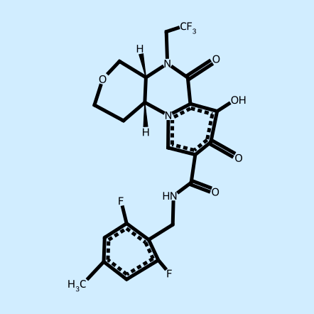 Cc1cc(F)c(CNC(=O)c2cn3c(c(O)c2=O)C(=O)N(CC(F)(F)F)[C@H]2COCC[C@H]23)c(F)c1